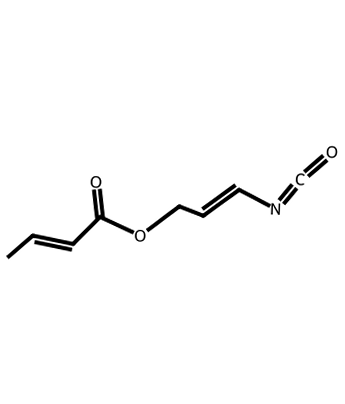 CC=CC(=O)OCC=CN=C=O